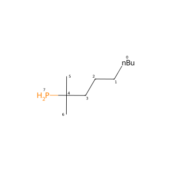 CCCCCCCC(C)(C)P